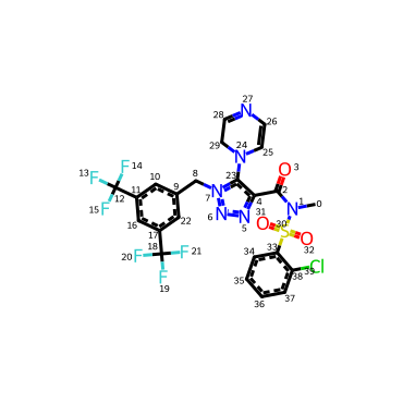 CN(C(=O)c1nnn(Cc2cc(C(F)(F)F)cc(C(F)(F)F)c2)c1N1C=CN=CC1)S(=O)(=O)c1ccccc1Cl